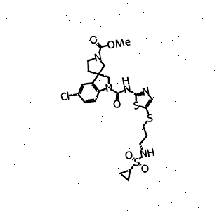 COC(=O)N1CCC2(C1)CN(C(=O)Nc1ncc(SCCCNS(=O)(=O)C3CC3)s1)c1ccc(Cl)cc12